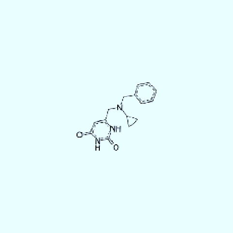 O=c1cc(CN(Cc2ccccc2)C2CC2)[nH]c(=O)[nH]1